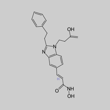 C=C(O)CCn1c(CCc2ccccc2)nc2cc(/C=C/C(=O)NO)ccc21